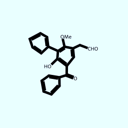 COc1c(CC=O)cc(C(=O)c2ccccc2)c(O)c1-c1ccccc1